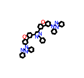 c1ccc(-c2nc(-c3ccc4oc5ccc(-n6c7ccccc7n7c8ccccc8nc67)cc5c4c3)cc(-c3ccc4oc5ccc(-n6c7ccccc7n7c8ccccc8nc67)cc5c4c3)n2)cc1